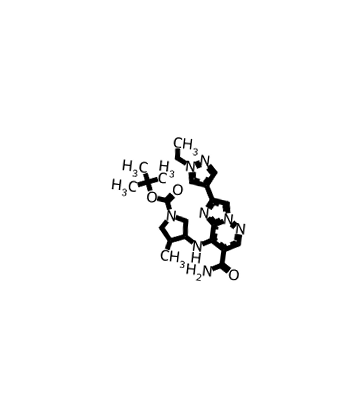 CCn1cc(-c2cn3ncc(C(N)=O)c(NC4CN(C(=O)OC(C)(C)C)CC4C)c3n2)cn1